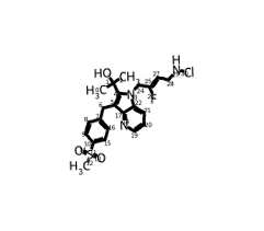 CC(C)(O)c1c(Cc2ccc(S(C)(=O)=O)cc2)c2ncccc2n1C/C(F)=C/CNCl